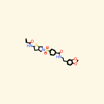 C=CC(=O)NC1CC2CN(S(=O)(=O)c3ccc(C(=O)NCCc4ccc5c(c4)OCO5)cc3)CC2S1